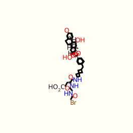 C[C@]12C=CC(=O)C=C1CC[C@@H]1[C@@H]2[C@@H](O)C[C@@]2(C)[C@H]1C[C@H]1O[C@@H](c3ccc(CC4CC5(C4)CC(NC(=O)[C@H](CCC(=O)O)NC(=O)CNC(=O)CBr)C5)cc3)O[C@]12C(=O)CO